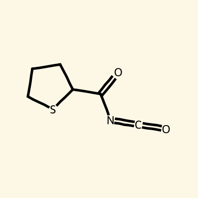 O=C=NC(=O)C1CCCS1